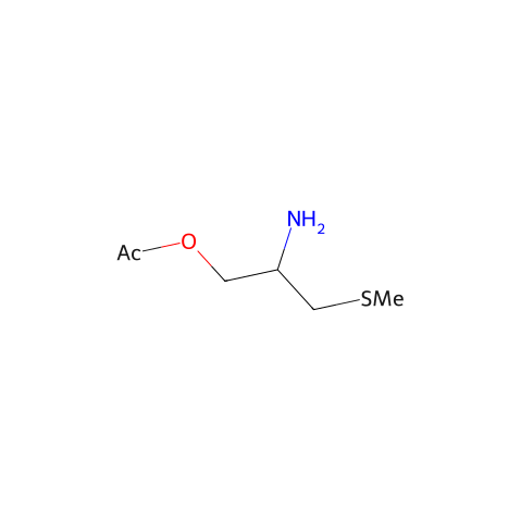 CSCC(N)COC(C)=O